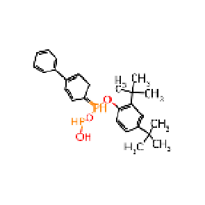 CC(C)(C)c1ccc(O/[PH](OPO)=C2/C=CC(c3ccccc3)=CC2)c(C(C)(C)C)c1